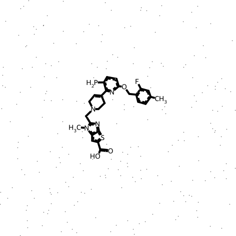 Cc1ccc(COc2ccc(P)c(C3=CCN(Cc4nc5sc(C(=O)O)cc5n4C)CC3)n2)c(F)c1